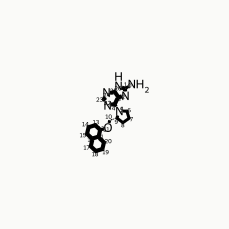 Nc1nc2c(N3CCC[C@@H]3COc3cccc4ccccc34)ncnc2[nH]1